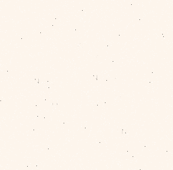 N#Cc1cccc(C(CC(N)=O)N2C(=O)c3ccccc3C2=O)c1